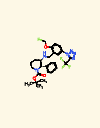 CC(C)(C)OC(=O)N1CCC[C@H](NCc2cc(-n3nnnc3C(F)(F)F)ccc2OCF)[C@@H]1c1ccccc1